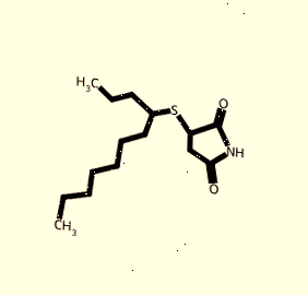 CCCCCCCC(CCC)SC1CC(=O)NC1=O